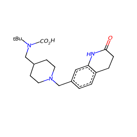 CC(C)(C)N(CC1CCN(Cc2ccc3c(c2)NC(=O)CC3)CC1)C(=O)O